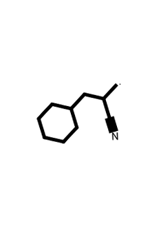 [CH2]C(C#N)CC1CCCCC1